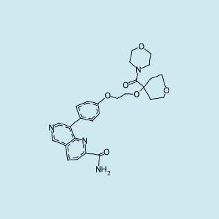 NC(=O)c1ccc2cncc(-c3ccc(OCCOC4(C(=O)N5CCOCC5)CCOCC4)cc3)c2n1